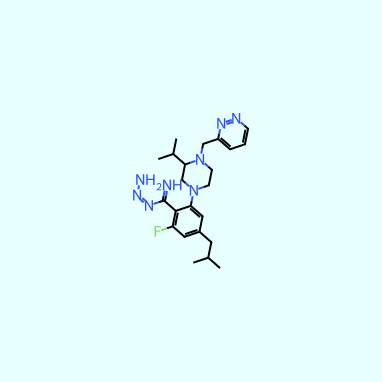 CC(C)Cc1cc(F)c(C(=N)/N=N\N)c(N2CCN(Cc3cccnn3)C(C(C)C)C2)c1